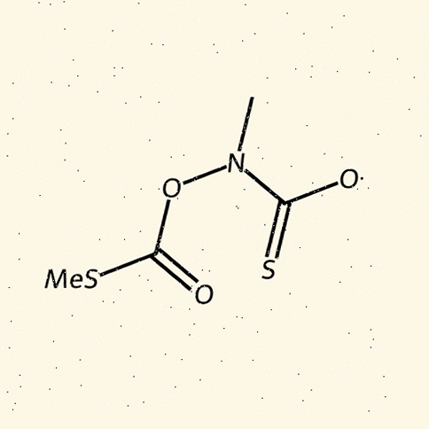 CSC(=O)ON(C)C([O])=S